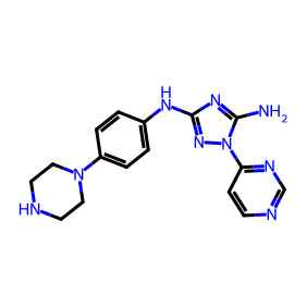 Nc1nc(Nc2ccc(N3CCNCC3)cc2)nn1-c1ccncn1